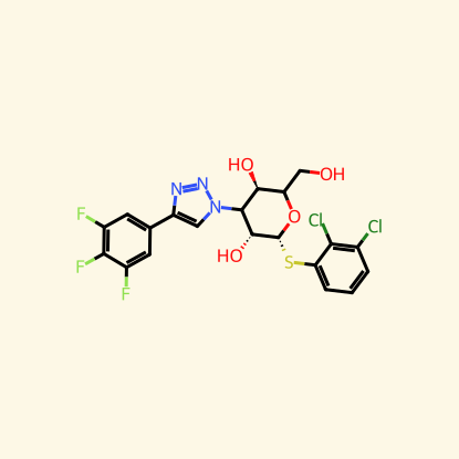 OCC1O[C@H](Sc2cccc(Cl)c2Cl)[C@H](O)C(n2cc(-c3cc(F)c(F)c(F)c3)nn2)[C@H]1O